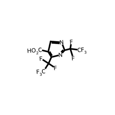 O=C(O)c1cnc(C(F)(F)C(F)(F)F)nc1C(F)(F)C(F)(F)F